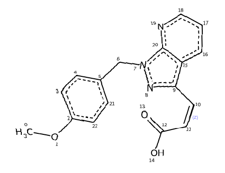 COc1ccc(Cn2nc(/C=C\C(=O)O)c3cccnc32)cc1